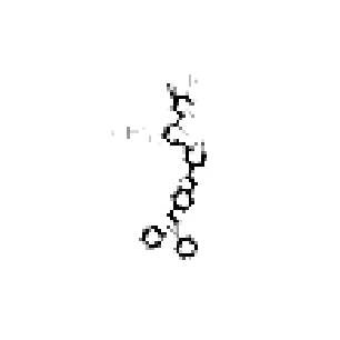 O=COc1ccnc(-c2cc(OC=O)cc(-c3cc(-c4cc5cc6sc(N(c7ccccc7)c7ccccc7)cc6cc5s4)ccn3)n2)c1